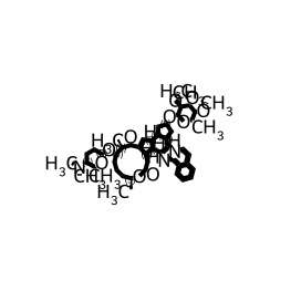 CC[C@H]1CCC[C@H](O[C@H]2CC[C@H](N(C)C)C(C)O2)[C@@H](C)C(=O)C2=C[C@H]3[C@@H]4C[C@H](OC5OC(C)C(OC)C(OC)C5OC)C[C@H]4c4c(nc5c6ccccc6ccn45)[C@H]3[C@@H]2CC(=O)O1